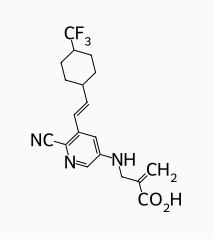 C=C(CNc1cnc(C#N)c(C=CC2CCC(C(F)(F)F)CC2)c1)C(=O)O